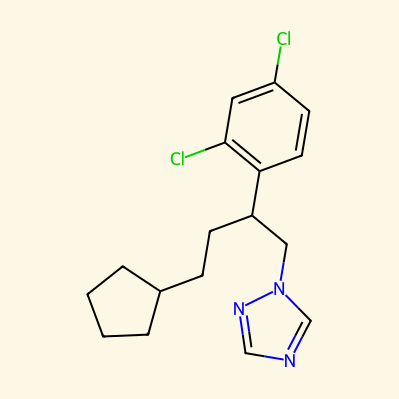 Clc1ccc(C(CCC2CCCC2)Cn2cncn2)c(Cl)c1